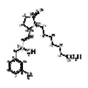 CCc1cccc(C[C@H](O)C=C[C@H]2CCC(=S)N2CCCCCCC(=O)O)c1